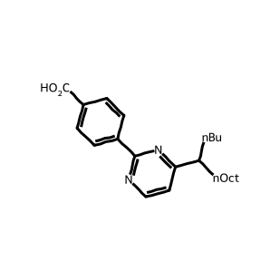 CCCCCCCCC(CCCC)c1ccnc(-c2ccc(C(=O)O)cc2)n1